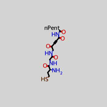 CCCCCC(=O)NC(=O)C#CC(=O)CNC(=O)CNC(=O)[C@@H](N)CCS